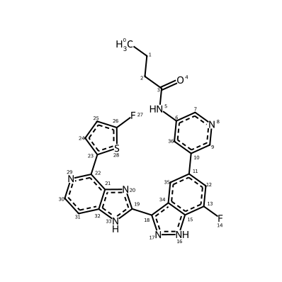 CCCC(=O)Nc1cncc(-c2cc(F)c3[nH]nc(-c4nc5c(-c6ccc(F)s6)nccc5[nH]4)c3c2)c1